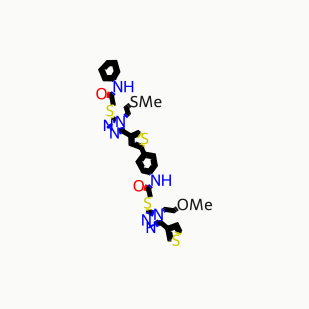 COCCn1c(SCC(=O)Nc2ccc(-c3cc(-c4nnc(SCC(=O)Nc5ccccc5)n4CCSC)cs3)cc2)nnc1-c1ccsc1